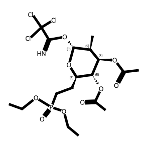 CCOP(=O)(CC[C@H]1O[C@H](OC(=N)C(Cl)(Cl)Cl)[C@@H](C)[C@@H](OC(C)=O)[C@@H]1OC(C)=O)OCC